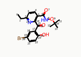 CCc1ccc(C(=O)NOC(C)(C)C)c(C(=O)c2cc(Br)ccc2O)n1